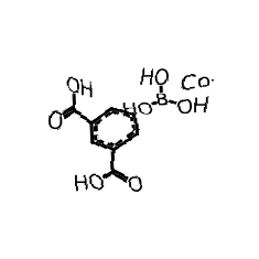 O=C(O)c1cccc(C(=O)O)c1.OB(O)O.[Co]